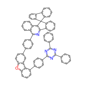 c1ccc(-c2nc(-c3ccccc3)nc(-c3ccc(-c4cccc5oc6ccc(-c7ccc(-c8nc9c(c%10ccccc8%10)C8(c%10ccccc%10-c%10ccccc%108)c8ccccc8-9)cc7)cc6c45)cc3)n2)cc1